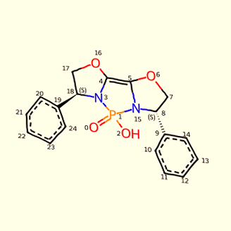 O=P1(O)N2C(=C3OC[C@H](c4ccccc4)N31)OC[C@@H]2c1ccccc1